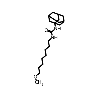 COCCCCCCCCNC(=O)NC12CC3CC(CC(C3)C1)C2